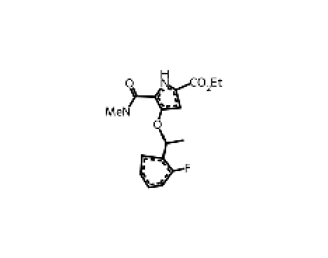 CCOC(=O)c1cc(OC(C)c2ccccc2F)c(C(=O)NC)[nH]1